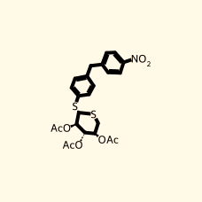 CC(=O)O[C@@H]1[C@@H](OC(C)=O)[C@H](Sc2ccc(Cc3ccc([N+](=O)[O-])cc3)cc2)SC[C@H]1OC(C)=O